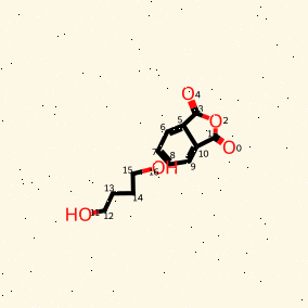 O=C1OC(=O)c2ccccc21.OCCCCO